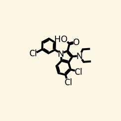 CCN(CC)c1c(C(=O)O)n(-c2cccc(Cl)c2)c2ccc(Cl)c(Cl)c12